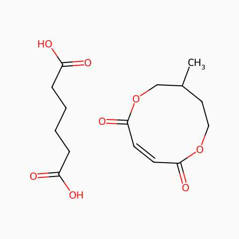 CC1CCOC(=O)/C=C\C(=O)OC1.O=C(O)CCCCC(=O)O